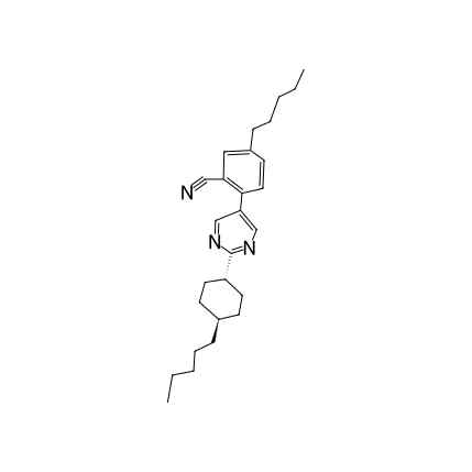 CCCCCc1ccc(-c2cnc([C@H]3CC[C@H](CCCCC)CC3)nc2)c(C#N)c1